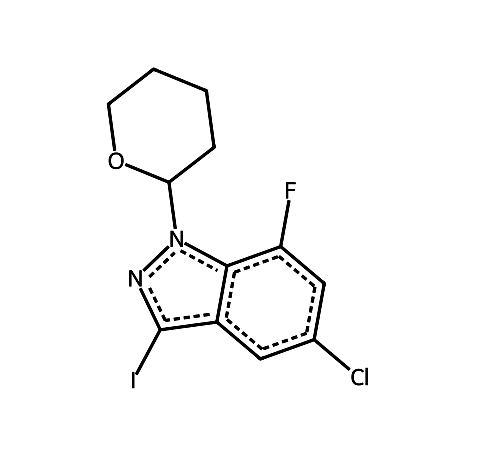 Fc1cc(Cl)cc2c(I)nn(C3CCCCO3)c12